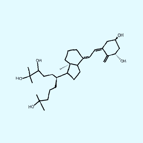 C=C1/C(=C\C=C2/CCC[C@@]3(C)C2CCC3[C@@H](CCCC(C)(C)O)CCC(O)C(C)(C)O)C[C@@H](O)C[C@@H]1O